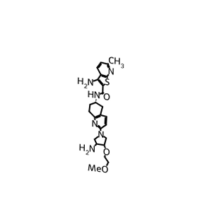 COCCOC1CN(c2ccc3c(n2)CC[C@H](NC(=O)c2sc4nc(C)ccc4c2N)C3)CC1N